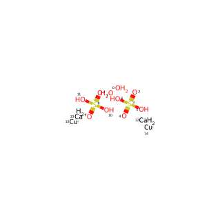 O.O.O=S(=O)(O)O.O=S(=O)(O)O.[CaH2].[CaH2].[Cu].[Cu]